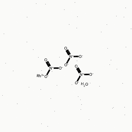 O.O=[N+]([O-])[O-].O=[N+]([O-])[O-].O=[N+]([O-])[O-].[Rh+3]